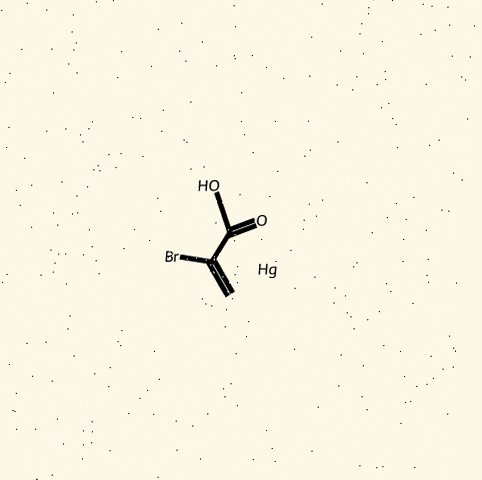 C=C(Br)C(=O)O.[Hg]